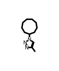 Cc1cn(C2CCCCCCCC2)nn1